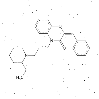 CCC1CCCCN1CCCN1C(=O)C(=Cc2ccccc2)Oc2ccccc21